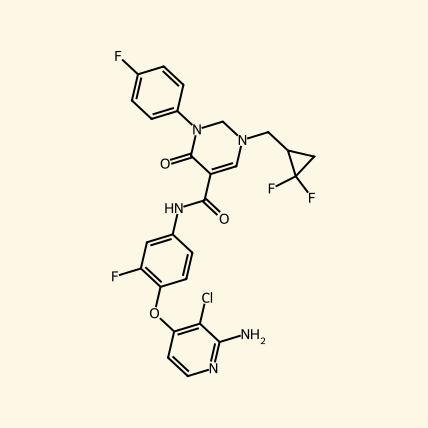 Nc1nccc(Oc2ccc(NC(=O)C3=CN(CC4CC4(F)F)CN(c4ccc(F)cc4)C3=O)cc2F)c1Cl